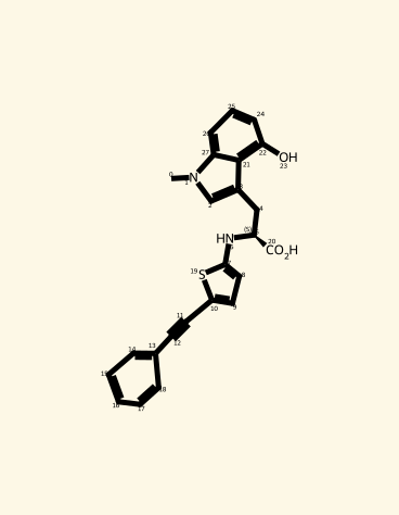 Cn1cc(C[C@H](Nc2ccc(C#Cc3ccccc3)s2)C(=O)O)c2c(O)cccc21